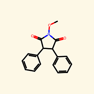 CON1C(=O)C(c2ccccc2)C(c2ccccc2)C1=O